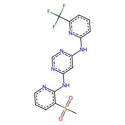 CS(=O)(=O)c1cccnc1Nc1cc(Nc2cccc(C(F)(F)F)n2)ncn1